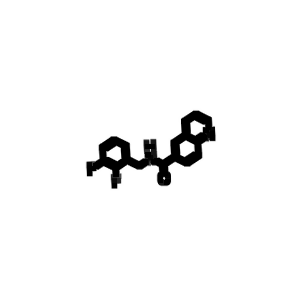 O=C(NCc1cccc(F)c1F)c1ccc2ncccc2c1